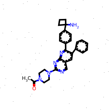 CC(=O)N1CCN(c2ncc3cc(-c4ccccc4)c(-c4ccc(C5(N)CCC5)cc4)nc3n2)CC1